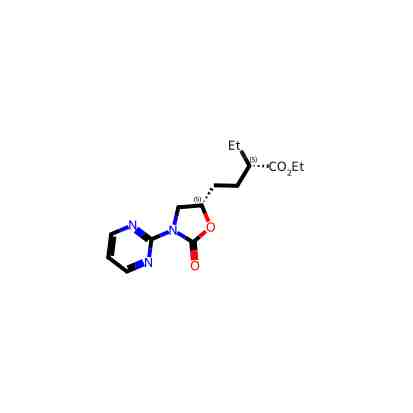 CCOC(=O)[C@@H](CC)CC[C@H]1CN(c2ncccn2)C(=O)O1